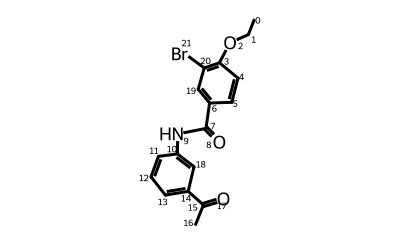 CCOc1ccc(C(=O)Nc2cccc(C(C)=O)c2)cc1Br